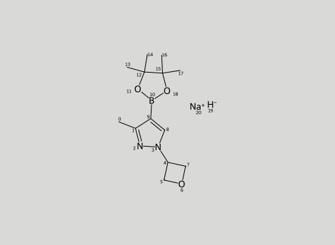 Cc1nn(C2COC2)cc1B1OC(C)(C)C(C)(C)O1.[H-].[Na+]